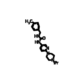 Cc1ccc(CNC(=O)Nc2ccc(N3CCN(C(C)C)CC3)nc2)cc1